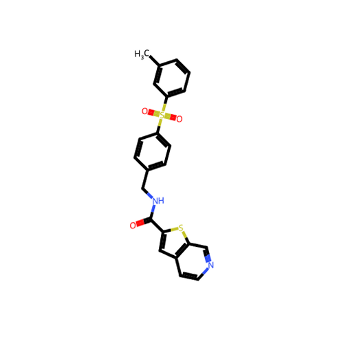 Cc1cccc(S(=O)(=O)c2ccc(CNC(=O)c3cc4ccncc4s3)cc2)c1